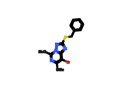 COc1nc(OC)n2nc(SCc3ccccc3)nc2c1Br